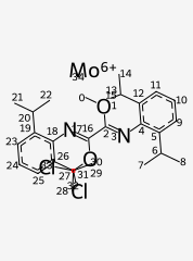 COC(=Nc1c(C(C)C)cccc1C(C)C)C(=Nc1c(C(C)C)cccc1C(C)C)OC(Cl)Cl.[Mo+6]